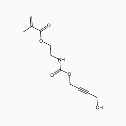 C=C(C)C(=O)OCCNC(=O)OCC#CCO